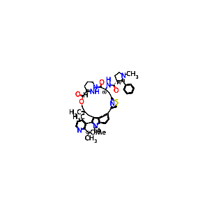 CCn1c(-c2cccnc2[C@H](C)OC)c2c3cc(ccc31)-c1csc(n1)C[C@H](NC(=O)[C@@H]1CCN(C)[C@H]1c1ccccc1)C(=O)N1CCC[C@H](N1)C(=O)OCC(C)(C)C2